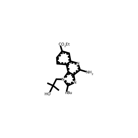 CCCCc1nc2c(N)nc3cc(C(=O)OCC)ccc3c2n1CC(C)(C)O